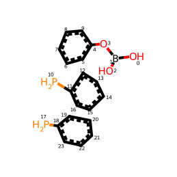 OB(O)Oc1ccccc1.Pc1ccccc1.Pc1ccccc1